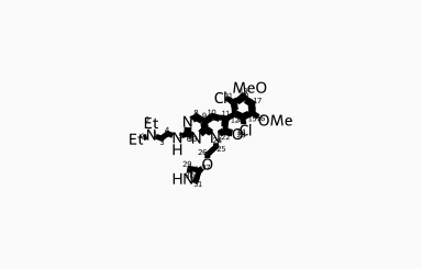 CCN(CC)CCNc1ncc2cc(-c3c(Cl)c(OC)cc(OC)c3Cl)c(=O)n(CCOC3CNC3)c2n1